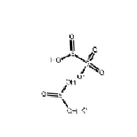 O=S(O)O.O=S(O)S(=O)(=O)[O-].[K+]